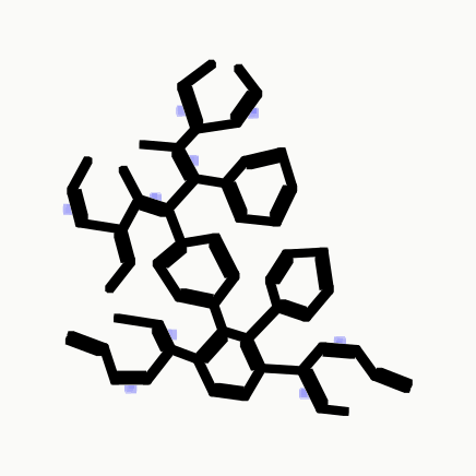 C=C/C=C\C(=C/C)c1ccc(C(/C=C\C=C)=C/C)c(-c2ccc(C(=C(/C)C(=CC)/C=C\C)/C(=C(C)/C(/C=C\C)=C/C)c3ccccc3)cc2)c1-c1ccccc1